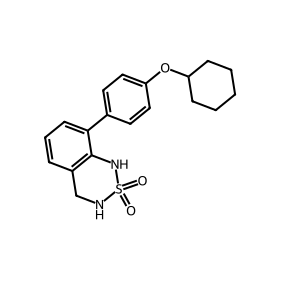 O=S1(=O)NCc2cccc(-c3ccc(OC4CCCCC4)cc3)c2N1